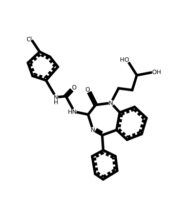 O=C(Nc1ccc(Cl)cc1)NC1N=C(c2ccccc2)c2ccccc2N(CCC(O)O)C1=O